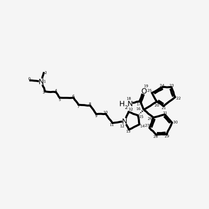 CN(C)CCCCCCCCCN1CC[C@@H](C(C(N)=O)(c2ccccc2)c2ccccc2)C1